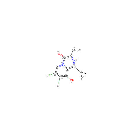 CCOC(=O)c1nc(C2CC2)c2c(O)c(F)c(F)cn2c1=O